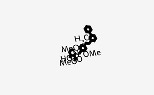 COC(=O)C1C(O)CCCN1Cc1c(OC)cc(C=Cc2cccc(-c3ccccc3)c2C)cc1OC